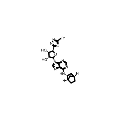 CC(C)c1nnc([C@H]2O[C@@H](n3cnc4c(N[C@@H]5C[C@@H]6CC[C@H]5C6)ncnc43)[C@H](O)[C@@H]2O)o1